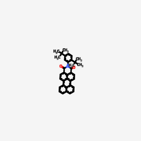 CC(C)(C)c1ccc(C(C)(C)C)c(N2C(=O)c3ccc4c5cccc6cccc(c7ccc(c3c47)C2=O)c65)c1